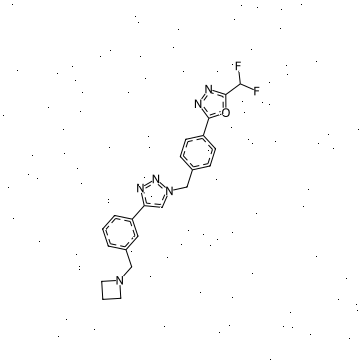 FC(F)c1nnc(-c2ccc(Cn3cc(-c4cccc(CN5CCC5)c4)nn3)cc2)o1